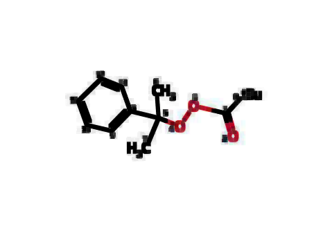 CC(C)(C)C(=O)OOC(C)(C)c1ccccc1